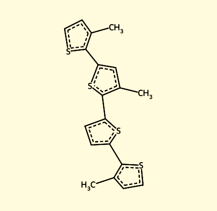 Cc1ccsc1-c1ccc(-c2sc(-c3sccc3C)cc2C)s1